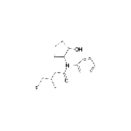 O=C(CC(F)CF)N(c1ccccc1)C1CCCC1O